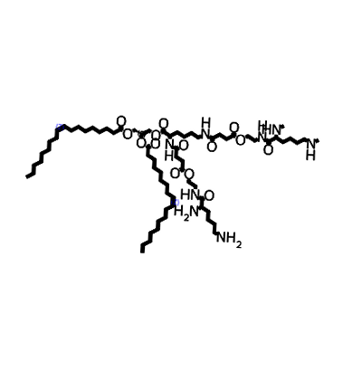 CCCCCCCC/C=C\CCCCCCCC(=O)OC[C@@H](COC(=O)C(CCCCNC(=O)CCC(=O)OCCNC(=O)C(CCCCNC)NC)NC(=O)CCC(=O)OCCNC(=O)C(N)CCCCN)OC(=O)CCCCCCC/C=C\CCCCCCCC